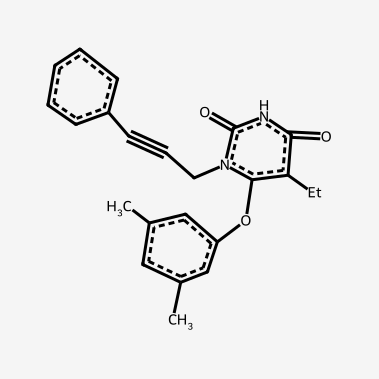 CCc1c(Oc2cc(C)cc(C)c2)n(CC#Cc2ccccc2)c(=O)[nH]c1=O